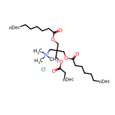 CCCCCCCCCCCCCCCC(=O)OCC(COC(=O)CCCCCCCCCCC)(COC(=O)CCCCCCCCCCCCCCC)C[N+](C)(C)C.[Cl-]